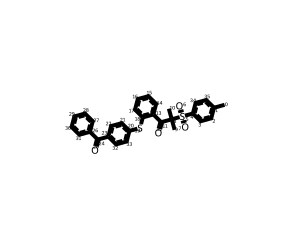 Cc1ccc(S(=O)(=O)C(C)(C)C(=O)c2ccccc2Sc2ccc(C(=O)c3ccccc3)cc2)cc1